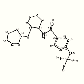 O=C(NC1CCCCC1CN1CCCCC1)c1ccc(OC(F)(F)F)cc1